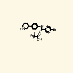 O=C(Nc1ccc(C2CCCNC2)cc1)c1cnc(Br)cn1.O=C(O)C(F)(F)F